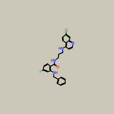 O=C(NCCCNc1ccnc2cc(Cl)ccc12)c1ccc(F)cc1NCc1ccccc1